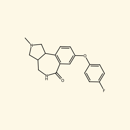 CN1CC2CNC(=O)c3cc(Oc4ccc(F)cc4)ccc3C2C1